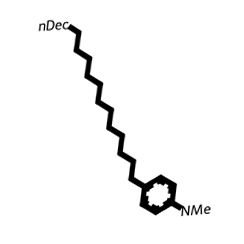 CCCCCCCCCCCCCCCCCCCCCCc1ccc(NC)cc1